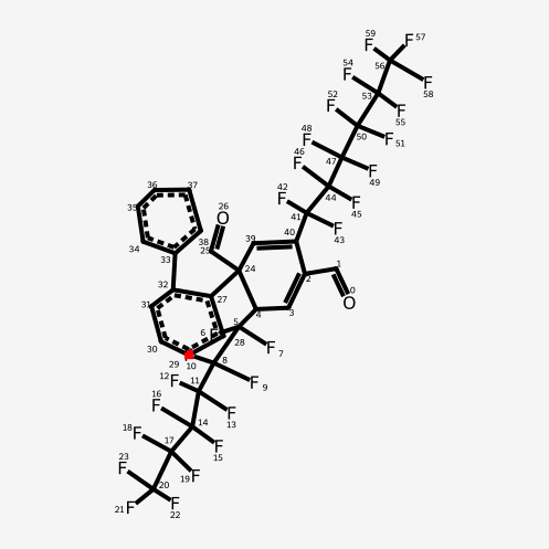 O=CC1=CC(C(F)(F)C(F)(F)C(F)(F)C(F)(F)C(F)(F)C(F)(F)F)C(C=O)(c2ccccc2-c2ccccc2)C=C1C(F)(F)C(F)(F)C(F)(F)C(F)(F)C(F)(F)C(F)(F)F